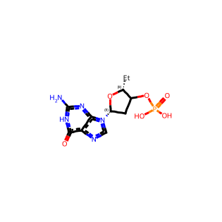 CC[C@H]1O[C@@H](n2cnc3c(=O)[nH]c(N)nc32)CC1OP(=O)(O)O